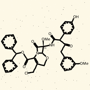 COc1cccc(CC(=O)C(C(=O)N[C@@]2(OC)C(=O)N3C(C(=O)OC(c4ccccc4)c4ccccc4)=C(CCl)COC32)c2ccc(O)cc2)c1